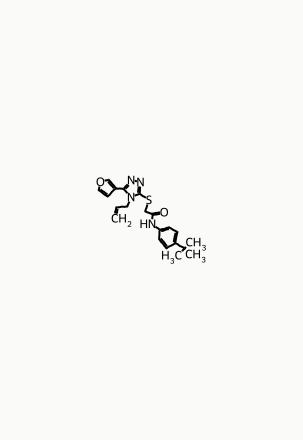 C=CCn1c(SCC(=O)Nc2ccc(C(C)(C)C)cc2)nnc1-c1ccoc1